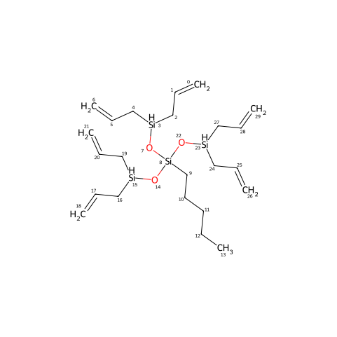 C=CC[SiH](CC=C)O[Si](CCCCC)(O[SiH](CC=C)CC=C)O[SiH](CC=C)CC=C